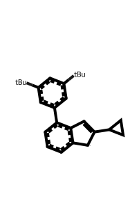 CC(C)(C)c1cc(-c2cccc3c2C=C(C2CC2)[CH]3)cc(C(C)(C)C)c1